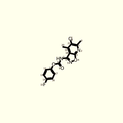 Cc1nc2onc(NC(=O)Oc3ccc(F)cc3)c2c(C)c1Cl